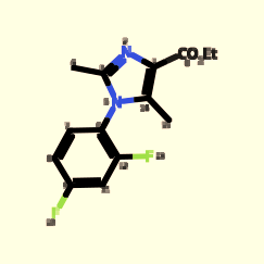 CCOC(=O)c1nc(C)n(-c2ccc(F)cc2F)c1C